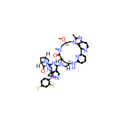 CO[C@H]1CN(C)C(=O)[C@@H]2C[C@@H](CN2c2nc(N3[C@H]4C[C@@H]3C(=O)N(CC3CC3)C4)nc3c2cnn3-c2ccc(F)cc2F)Nc2cccc(n2)-c2nccc3nc(C)n(c23)C1